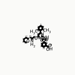 Cc1cccc(C)c1-c1cc(OC[C@H](N)C[C@H]2CCCCO2)nc(NS(=O)(=O)c2cccc(C(=O)O)c2)n1